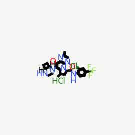 Cc1cnc2c(n1)c(=O)c(N1CCN[C@H]3CC[C@@H]31)c1n2C(C(=O)Nc2ccc(C(F)(F)F)cc2Cl)CC1C.Cl